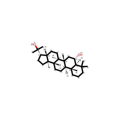 CC(C)(O)[C@H]1CC[C@]2(C)[C@H]3CC[C@@H]4[C@@]5(C)CCCC(C)(C)[C@@H]5[C@@H](O)C[C@@]4(C)[C@]3(C)CC[C@@H]12